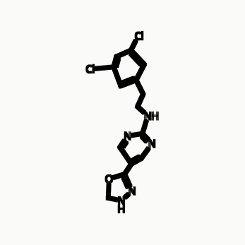 Clc1cc(Cl)cc(CCNc2ncc(C3=NNCO3)cn2)c1